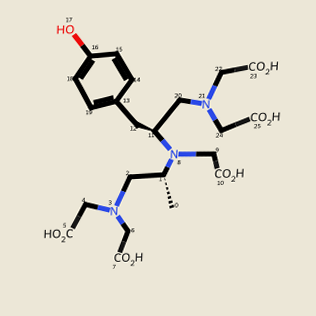 C[C@H](CN(CC(=O)O)CC(=O)O)N(CC(=O)O)[C@@H](Cc1ccc(O)cc1)CN(CC(=O)O)CC(=O)O